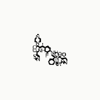 CCn1nccc1C(=O)N[C@@](C=O)(CNc1ccc([C@H](C)[C@@H](NC(=O)c2cncs2)C(=O)N2CCN(C)CC2)cc1F)C1CCCCC1